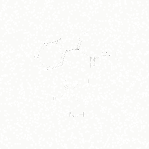 CS(=O)(=O)O.NNC(=O)c1ccncc1.[NaH]